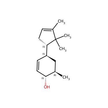 CC1=CC[C@@H]([C@@H]2C=C[C@@H](O)[C@H](C)C2)C1(C)C